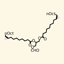 CCCCCCCC/C=C\CCCCCCCC(=O)OCC(COC=O)OC(=O)CCCCCCC/C=C\CCCCCCCC